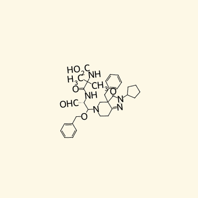 CC(C)(NC(=O)O)C(=O)N[C@@H](C=O)C(OCc1ccccc1)N1CCC2=NN(C3CCCC3)C(=O)C2(Cc2ccccc2)C1